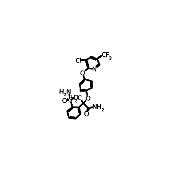 CC(Oc1ccc(Oc2ncc(C(F)(F)F)cc2Cl)cc1)(C(N)=O)c1ccccc1S(N)(=O)=O